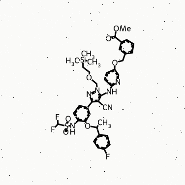 COC(=O)c1cccc(COc2ccc(Nc3c(C#N)c(-c4ccc(NS(=O)(=O)C(F)F)c(OC(C)c5ccc(F)cc5)c4)nn3COCC[Si](C)(C)C)nc2)c1